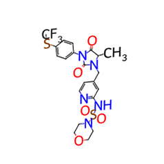 CC1C(=O)N(c2ccc(SC(F)(F)F)cc2)C(=O)N1Cc1ccnc(NS(=O)(=O)N2CCOCC2)c1